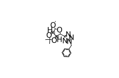 COC1OC(c2nnn(Cc3ccccc3)n2)[C@H]2OC(C)(C)O[C@@H]12